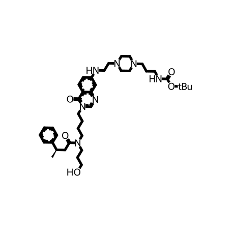 C[C@H](CC(=O)N(CCCO)CCCCn1cnc2cc(NCCN3CCN(CCCNC(=O)OC(C)(C)C)CC3)ccc2c1=O)c1ccccc1